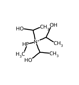 CP[N+](C(C)O)(C(C)O)C(C)O